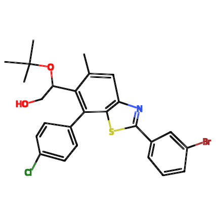 Cc1cc2nc(-c3cccc(Br)c3)sc2c(-c2ccc(Cl)cc2)c1C(CO)OC(C)(C)C